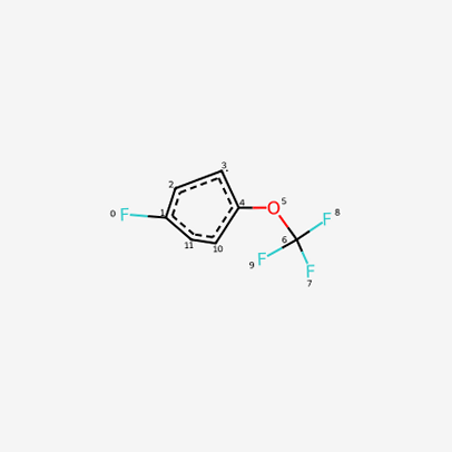 Fc1c[c]c(OC(F)(F)F)cc1